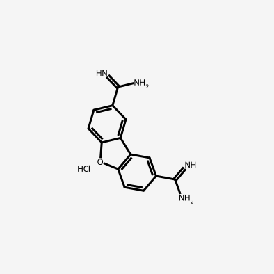 Cl.N=C(N)c1ccc2oc3ccc(C(=N)N)cc3c2c1